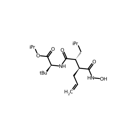 C=CC[C@H](C(=O)NO)[C@@H](CC(C)C)C(=O)N[C@H](C(=O)OC(C)C)C(C)(C)C